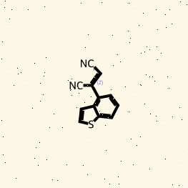 N#C/C=C(\C#N)c1cccc2sccc12